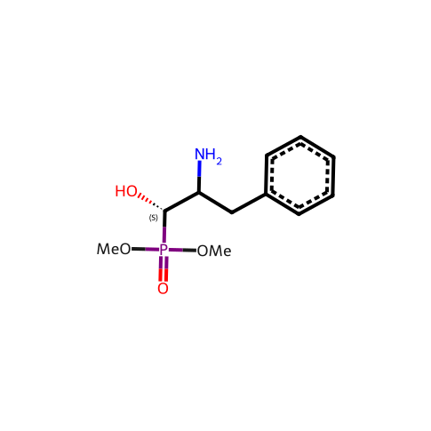 COP(=O)(OC)[C@H](O)C(N)Cc1ccccc1